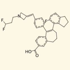 O=C(O)c1ccc2c(c1)CCCC(c1c(F)ccc3c1CCC3)=C2c1ccc(C=C2CN(CCC(F)F)C2)cc1